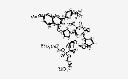 C=C[C@@H]1C[C@]1(NC(=O)[C@@H]1C[C@@H](Oc2cc(-c3csc(NC(C)C)n3)nc3cc(OC)ccc23)CN1C(=O)[C@@H](NC(=O)OC1CCCC1)C(C)(C)C)P(=O)(OCOC(=O)OCC)OCOC(=O)OCC